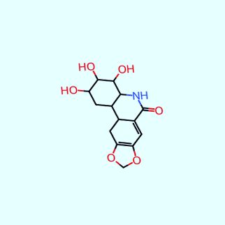 O=C1NC2C(O)C(O)C(O)CC2C2CC3=C(C=C12)OCO3